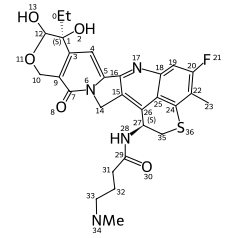 CC[C@]1(O)c2cc3n(c(=O)c2COC1O)Cc1c-3nc2cc(F)c(C)c3c2c1[C@H](NC(=O)CCCNC)CS3